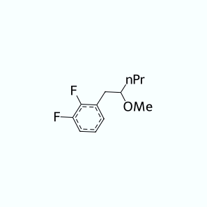 CCCC(Cc1cccc(F)c1F)OC